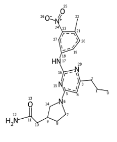 CCCc1cc(N2CCC(CC(N)=O)C2)nc(Nc2ccc(C)c([N+](=O)[O-])c2)n1